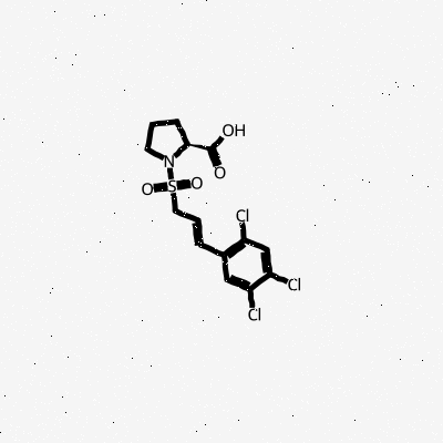 O=C(O)[C@@H]1CCCN1S(=O)(=O)CC=Cc1cc(Cl)c(Cl)cc1Cl